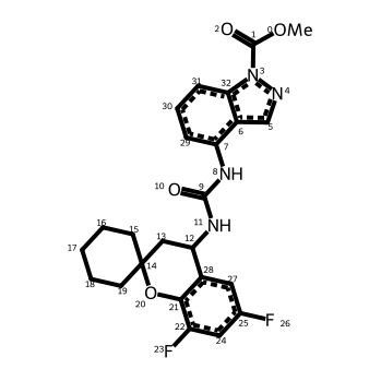 COC(=O)n1ncc2c(NC(=O)NC3CC4(CCCCC4)Oc4c(F)cc(F)cc43)cccc21